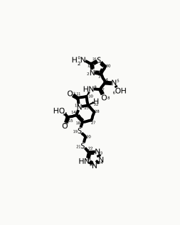 Nc1nc(/C(=N/O)C(=O)N[C@@H]2C(=O)N3C(C(=O)O)=C(SCSc4nnn[nH]4)CC[C@@H]23)cs1